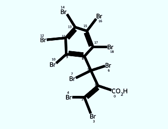 O=C(O)C(=C(Br)Br)C(Br)(Br)c1c(Br)c(Br)c(Br)c(Br)c1Br